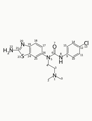 CN(C)CCN(C(=O)Nc1ccc(Cl)cc1)c1ccc2nc(N)sc2c1